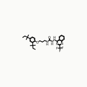 CCC(C)(C)c1ccc(OCCCNC(=O)NNc2nc(C(F)(F)F)nc3ccccc23)c(C(C)(C)CC)c1